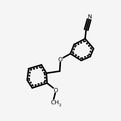 COc1ccccc1COc1cccc(C#N)c1